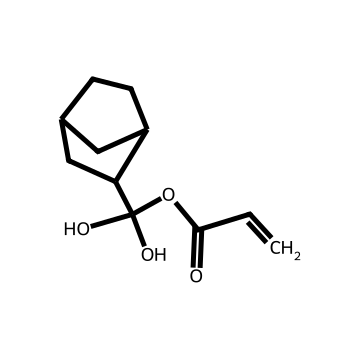 C=CC(=O)OC(O)(O)C1CC2CCC1C2